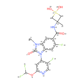 CC(C)n1c(=O)n(-c2cc(OC(F)F)ncc2F)c2cc(F)c(C(=O)NC3(C)CS(O)(O)C3)cc21